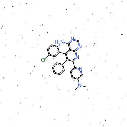 CN(C)c1ccc(-c2nc3ncnc(N)c3c(-c3cccc(Cl)c3)c2-c2ccccc2)nc1